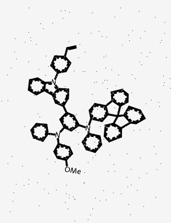 C=Cc1ccc(-n2c3ccccc3c3cc(-c4cc(N(c5ccccc5)c5ccc(OC)cc5)cc(N(c5ccccc5)c5ccc6c(c5)C5(c7ccccc7-c7ccccc75)c5ccccc5-6)c4)ccc32)cc1